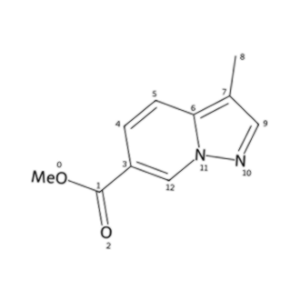 COC(=O)c1ccc2c(C)cnn2c1